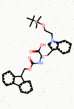 CC(C)(C)[Si](C)(C)OCCn1cc(C[C@H](NC(=O)OCC2c3ccccc3-c3ccccc32)C(=O)O)c2ccccc21